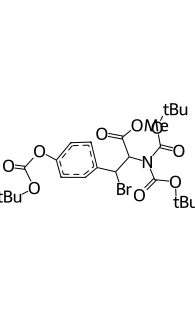 COC(=O)C(C(Br)c1ccc(OC(=O)OC(C)(C)C)cc1)N(C(=O)OC(C)(C)C)C(=O)OC(C)(C)C